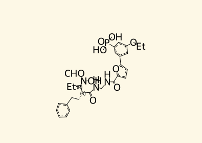 CCOc1cc(-c2ccc(C(=O)NCNC(=O)[C@H](CCc3ccccc3)[C@@H](CC)N(O)C=O)o2)cc(P(=O)(O)O)c1